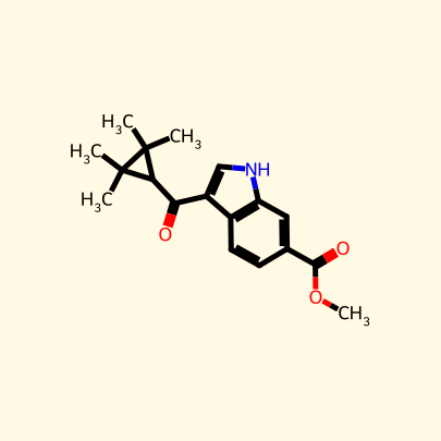 COC(=O)c1ccc2c(C(=O)C3C(C)(C)C3(C)C)c[nH]c2c1